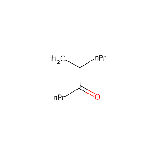 [CH2]C(CCC)C(=O)CCC